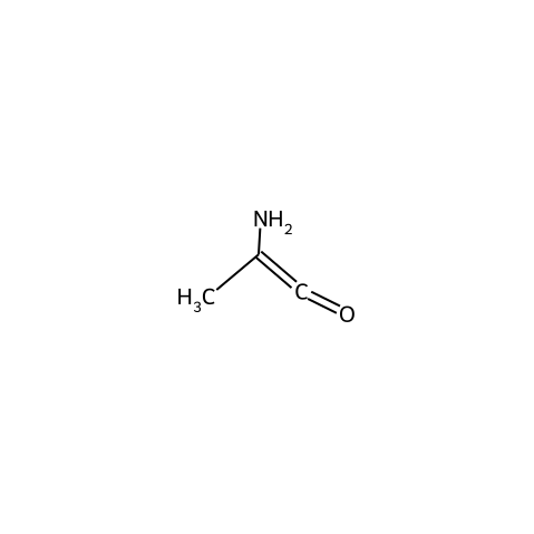 CC(N)=C=O